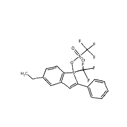 CCc1ccc2c(c1)C=C(c1ccccc1)S2(OS(=O)(=O)C(F)(F)F)C(F)(F)F